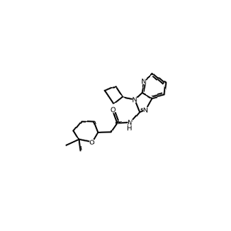 CC1(C)CCCC(CC(=O)Nc2nc3cccnc3n2C2CCC2)O1